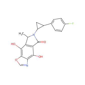 CC1c2c(c(O)c3ncoc3c2O)C(=O)N1C1CC1c1ccc(F)cc1